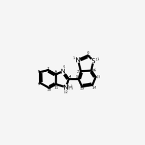 [c]1nc2c(-c3nc4ccccc4[nH]3)cccc2s1